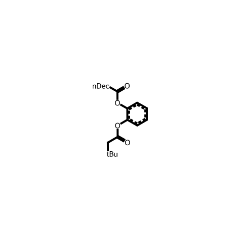 CCCCCCCCCCC(=O)Oc1ccccc1OC(=O)CC(C)(C)C